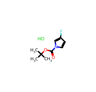 CC(C)(C)OC(=O)n1ccc(F)c1.Cl